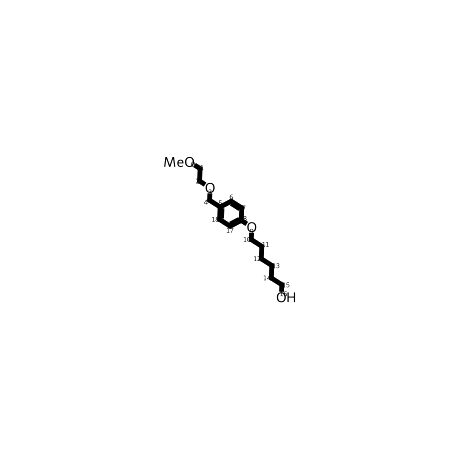 COCCOCc1ccc(OCCCCCCO)cc1